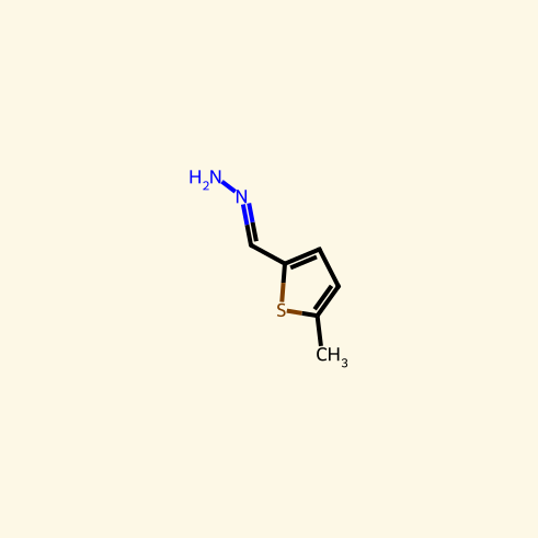 Cc1ccc(/C=N/N)s1